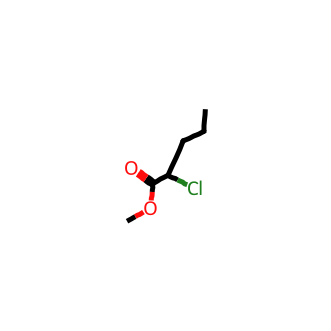 CCCC(Cl)C(=O)OC